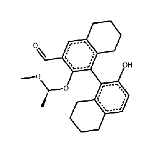 CO[C@H](C)Oc1c(C=O)cc2c(c1-c1c(O)ccc3c1CCCC3)CCCC2